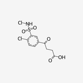 O=C(O)CCC(=O)c1ccc(Cl)c(S(=O)(=O)NCl)c1